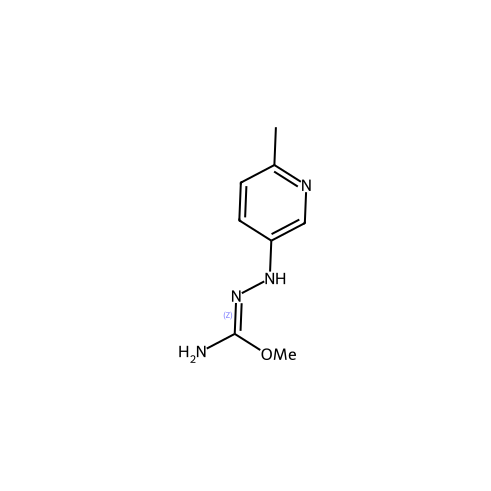 CO/C(N)=N\Nc1ccc(C)nc1